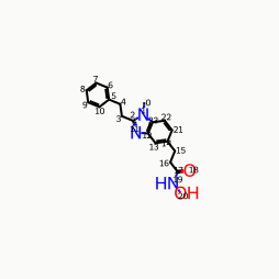 Cn1c(CCc2ccccc2)nc2cc(CCC(=O)NO)ccc21